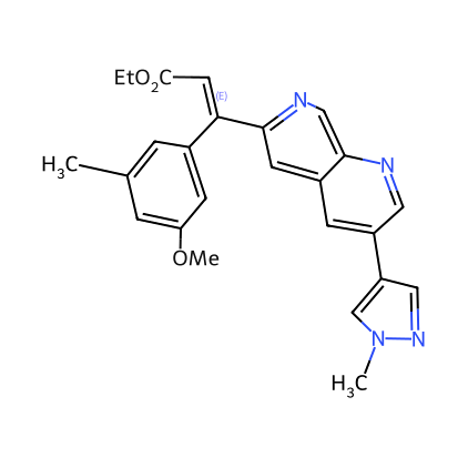 CCOC(=O)/C=C(\c1cc(C)cc(OC)c1)c1cc2cc(-c3cnn(C)c3)cnc2cn1